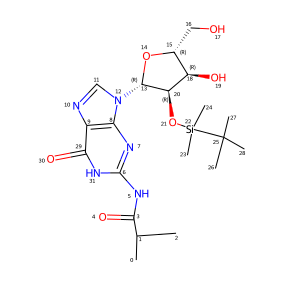 CC(C)C(=O)Nc1nc2c(ncn2[C@@H]2O[C@H](CO)[C@@H](O)[C@H]2O[Si](C)(C)C(C)(C)C)c(=O)[nH]1